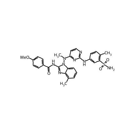 COc1ccc(C(=O)Nc2nc3c(C)cccc3n2N(C)c2ccnc(Nc3ccc(C)c(S(N)(=O)=O)c3)n2)cc1